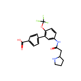 O=C(CC1CCCN1)Nc1ccc(OC(F)(F)F)c(-c2ccc(C(=O)O)cc2)c1